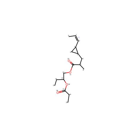 C/C=C\C1CC1CC(C)C(=O)OCC(CC)OC(=O)CC